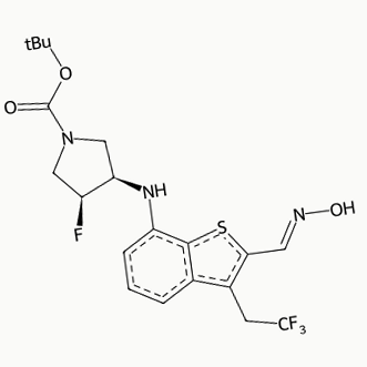 CC(C)(C)OC(=O)N1C[C@H](F)[C@H](Nc2cccc3c(CC(F)(F)F)c(/C=N/O)sc23)C1